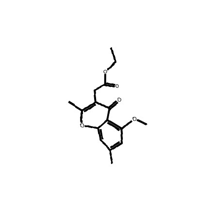 CCOC(=O)Cc1c(C)oc2cc(C)cc(OC)c2c1=O